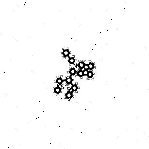 c1ccc(-c2ccc(N(c3ccc(-c4cc(-c5cccc6c5sc5ccccc56)cc(-c5cccc6c5sc5ccccc56)c4)cc3)c3ccc4c(c3)C3(c5ccccc5-c5ccccc53)c3ccccc3-4)cc2)cc1